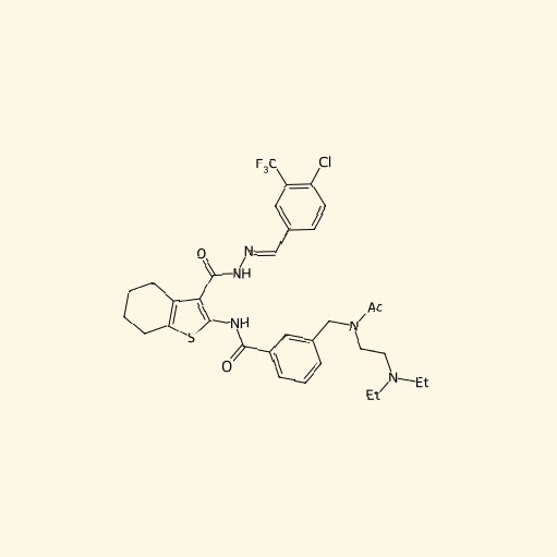 CCN(CC)CCN(Cc1cccc(C(=O)Nc2sc3c(c2C(=O)N/N=C/c2ccc(Cl)c(C(F)(F)F)c2)CCCC3)c1)C(C)=O